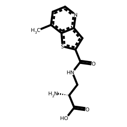 Cc1ccnc2cc(C(=O)NC[C@@H](N)C(=O)O)sc12